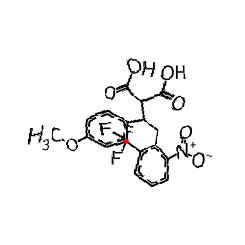 COc1ccc(C(Cc2c([N+](=O)[O-])cccc2C(F)(F)F)C(C(=O)O)C(=O)O)cc1